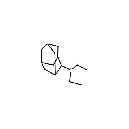 CCP(CC)C1C2CC3CC(C2)CC1C3